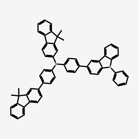 CC1(C)c2ccccc2-c2ccc(-c3ccc(N(c4ccc(-c5ccc6c(c5)c5ccccc5n6-c5ccccc5)cc4)c4ccc5c(c4)C(C)(C)c4ccccc4-5)cc3)cc21